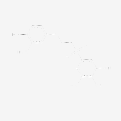 Cc1cc(S(=O)(=O)CCOc2ccc(O)c(C(=O)O)c2)cc(C)c1C